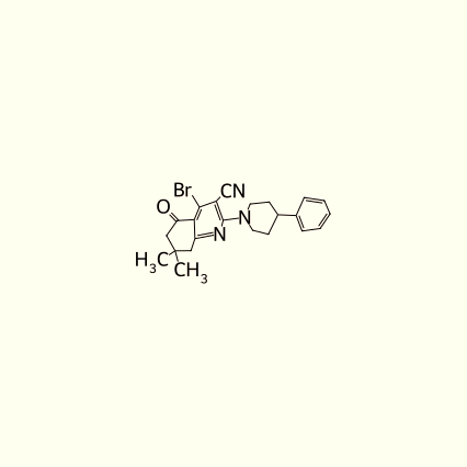 CC1(C)CC(=O)c2c(nc(N3CCC(c4ccccc4)CC3)c(C#N)c2Br)C1